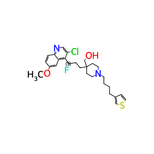 COc1ccc2ncc(Cl)c([C@@H](F)CCC3(CO)CCN(CCCCc4ccsc4)CC3)c2c1